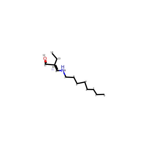 CCCCCCCCN/C=C(/C=O)CC